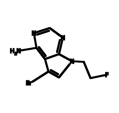 Nc1ncnc2c1c(Br)cn2CCF